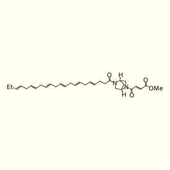 CCC=CCC=CCC=CCC=CCC=CCC=CCCC(=O)N1C[C@@H]2C[C@H]1CN2C(=O)C=CC(=O)OC